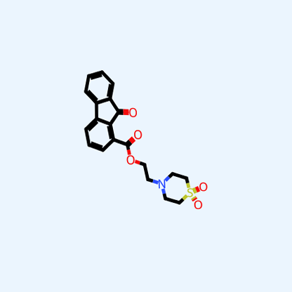 O=C(OCCN1CCS(=O)(=O)CC1)c1cccc2c1C(=O)c1ccccc1-2